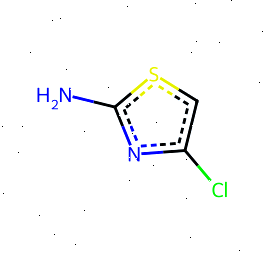 Nc1nc(Cl)cs1